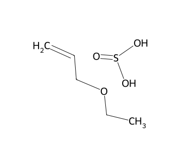 C=CCOCC.O=S(O)O